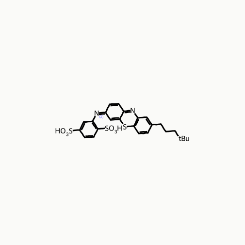 CC(C)(C)CCCc1ccc2sc3c/c(=N\c4cc(S(=O)(=O)O)ccc4S(=O)(=O)O)ccc-3nc2c1